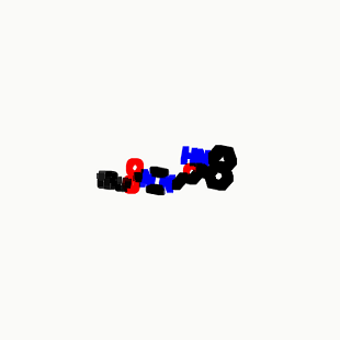 CC(C)(C)OC(=O)N1CCN(CCCCC23CCCc4cccc(c42)NC3=O)CC1